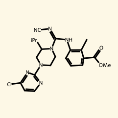 COC(=O)c1cccc(N/C(=N/C#N)N2CCN(c3nccc(Cl)n3)CC2C(C)C)c1C